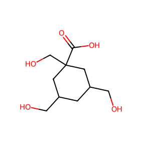 O=C(O)C1(CO)CC(CO)CC(CO)C1